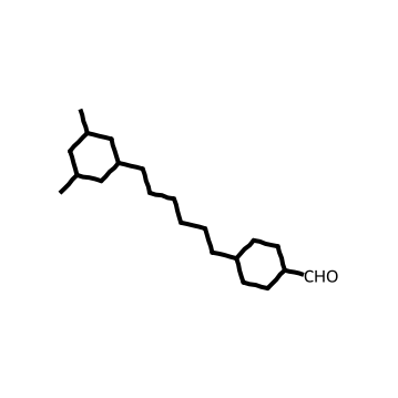 CC1CC(C)CC(CCCCCCC2CCC(C=O)CC2)C1